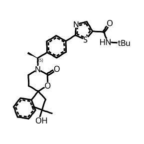 C[C@@H](c1ccc(-c2ncc(C(=O)NC(C)(C)C)s2)cc1)N1CCC(CC(C)(C)O)(c2ccccc2)OC1=O